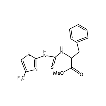 COC(=O)C(Cc1ccccc1)NC(=S)Nc1nc(C(F)(F)F)cs1